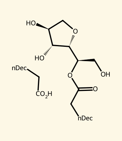 CCCCCCCCCCCC(=O)O.CCCCCCCCCCCC(=O)O[C@H](CO)[C@H]1OC[C@H](O)[C@H]1O